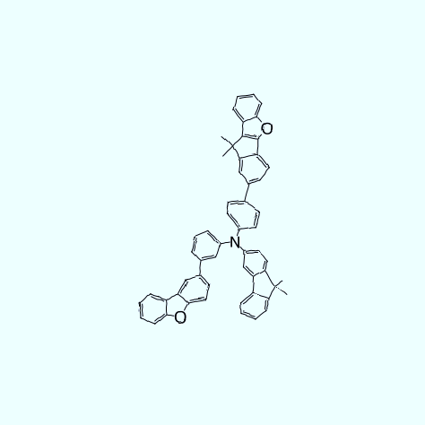 CC1(C)c2ccccc2-c2cc(N(c3ccc(-c4ccc5c(c4)C(C)(C)c4c-5oc5ccccc45)cc3)c3cccc(-c4ccc5oc6ccccc6c5c4)c3)ccc21